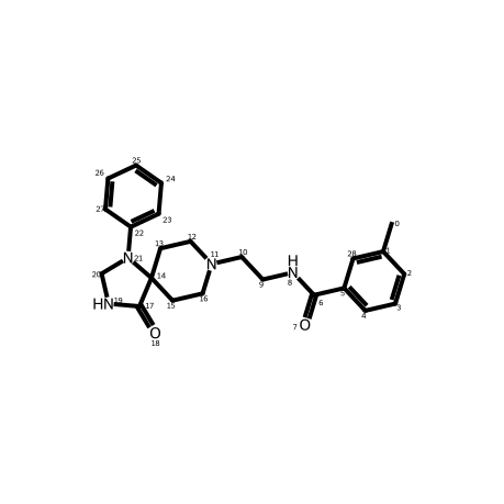 Cc1cccc(C(=O)NCCN2CCC3(CC2)C(=O)NCN3c2ccccc2)c1